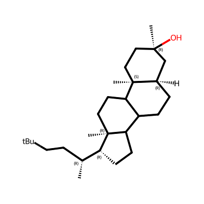 C[C@H](CCC(C)(C)C)[C@H]1CCC2C3CC[C@@H]4C[C@](C)(O)CC[C@]4(C)C3CC[C@@]21C